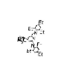 CCc1cc(CC)c(N=Cc2cc(C)cc(C=Nc3c(CC)cc(CC)cc3CC)n2)c(CC)c1.[Cl-].[Cl-].[V+2]